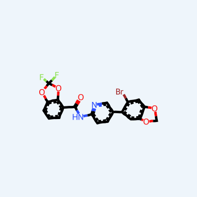 O=C(Nc1ccc(-c2cc3c(cc2Br)OCO3)cn1)c1cccc2c1OC(F)(F)O2